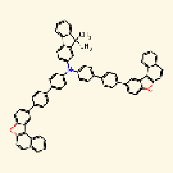 CC1(C)c2ccccc2-c2ccc(N(c3ccc(-c4ccc(-c5ccc6oc7ccc8ccccc8c7c6c5)cc4)cc3)c3ccc(-c4ccc(-c5ccc6oc7ccc8ccccc8c7c6c5)cc4)cc3)cc21